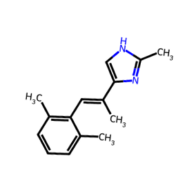 CC(=Cc1c(C)cccc1C)c1c[nH]c(C)n1